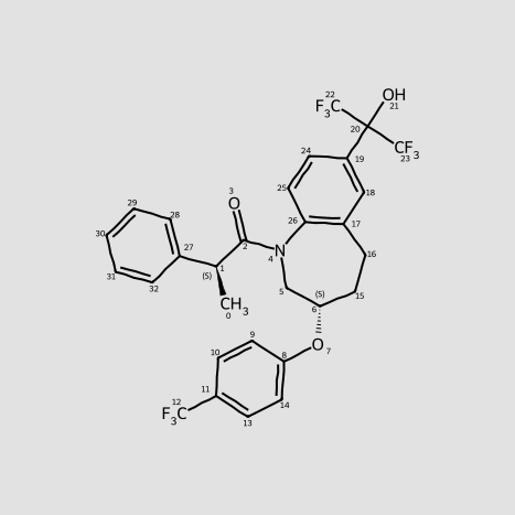 C[C@H](C(=O)N1C[C@@H](Oc2ccc(C(F)(F)F)cc2)CCc2cc(C(O)(C(F)(F)F)C(F)(F)F)ccc21)c1ccccc1